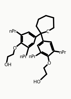 CCCc1cc(C2(c3cc(CCC)c(OCCO)c(CCC)c3)CCCCCC2)cc(CCC)c1OCCO